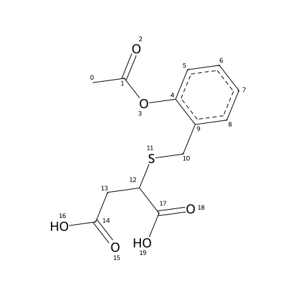 CC(=O)Oc1ccccc1CSC(CC(=O)O)C(=O)O